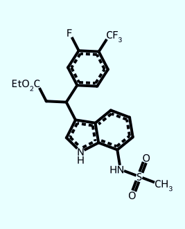 CCOC(=O)CC(c1ccc(C(F)(F)F)c(F)c1)c1c[nH]c2c(NS(C)(=O)=O)cccc12